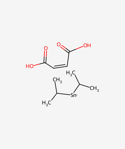 C[CH](C)[Sn][CH](C)C.O=C(O)/C=C\C(=O)O